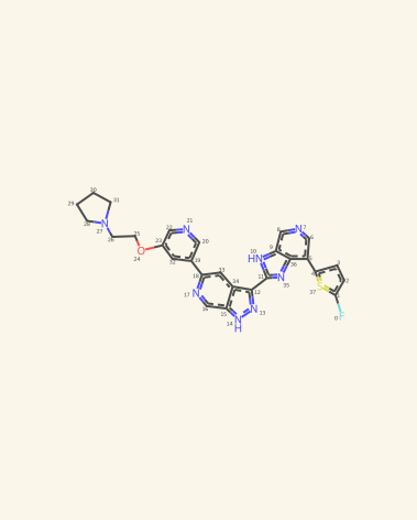 Fc1ccc(-c2cncc3[nH]c(-c4n[nH]c5cnc(-c6cncc(OCCN7CCCC7)c6)cc45)nc23)s1